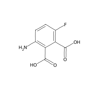 Nc1ccc(F)c(C(=O)O)c1C(=O)O